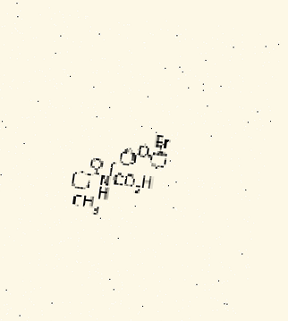 CC1CCCC(C(=O)NC(=Cc2ccc(Oc3ccccc3Br)cc2)C(=O)O)C1